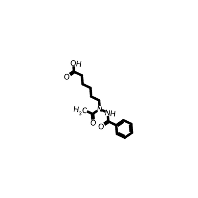 CC(=O)N(CCCCCC(=O)O)NC(=O)c1ccccc1